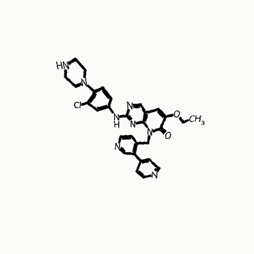 CCOc1cc2cnc(Nc3ccc(N4CCNCC4)c(Cl)c3)nc2n(Cc2ccncc2-c2ccncc2)c1=O